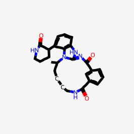 CC1CCCCNC(=O)c2cccc(c2)C(=O)/N=C2\Nc3cccc(C4CCCNC4=O)c3N21